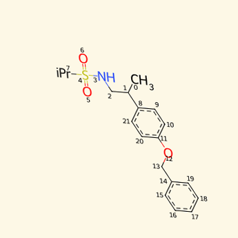 CC(CNS(=O)(=O)C(C)C)c1ccc(OCc2ccccc2)cc1